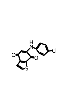 O=C1C=C(Nc2ccc(Cl)cc2)C(=O)c2sccc21